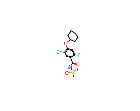 CS(=O)(=O)NC(=O)c1cc(Cl)c(OC2CCCCC2)cc1F